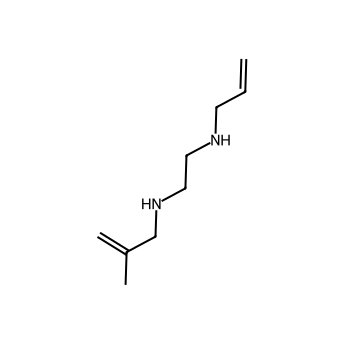 C=CCNCCNCC(=C)C